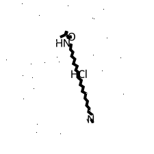 C=C(C)C(=O)NCCCCCCCCCCCCCCCCCCCCCN(C)C.Cl